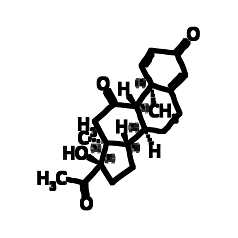 CC(=O)[C@@]1(O)CC[C@H]2[C@@H]3CCC4=CC(=O)C=C[C@]4(C)[C@H]3C(=O)C[C@@]21C